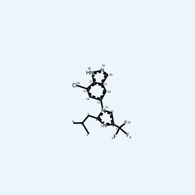 CC(C)Cc1nc(C(F)(F)F)cn1-c1cc(Cl)c2[nH]ncc2c1